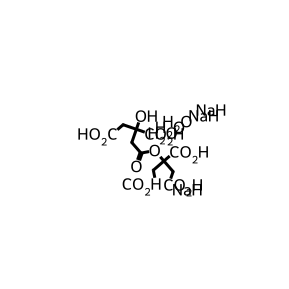 O.O.O.O=C(O)CC(O)(CC(=O)OC(CC(=O)O)(CC(=O)O)C(=O)O)C(=O)O.[NaH].[NaH].[NaH]